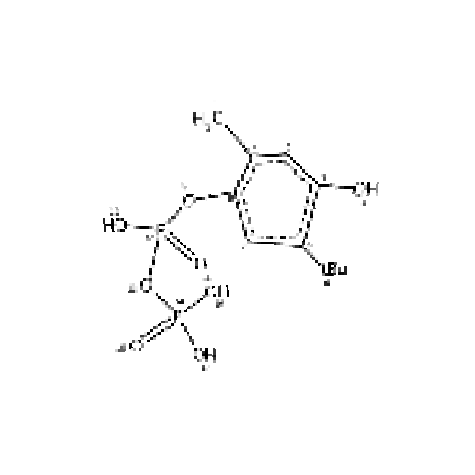 Cc1cc(O)c(C(C)(C)C)cc1OP(=O)(O)OP(=O)(O)O